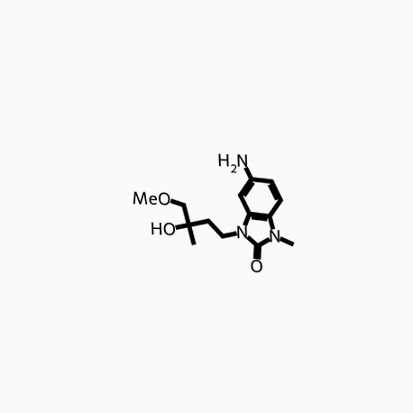 COCC(C)(O)CCn1c(=O)n(C)c2ccc(N)cc21